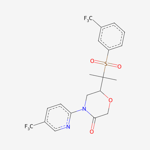 CC(C)(C1CN(c2ccc(C(F)(F)F)cn2)C(=O)CO1)S(=O)(=O)c1cccc(C(F)(F)F)c1